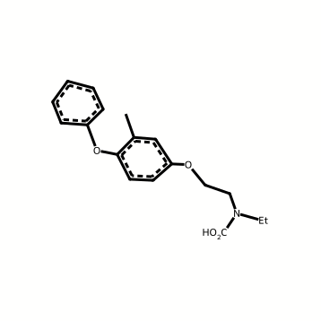 CCN(CCOc1ccc(Oc2ccccc2)c(C)c1)C(=O)O